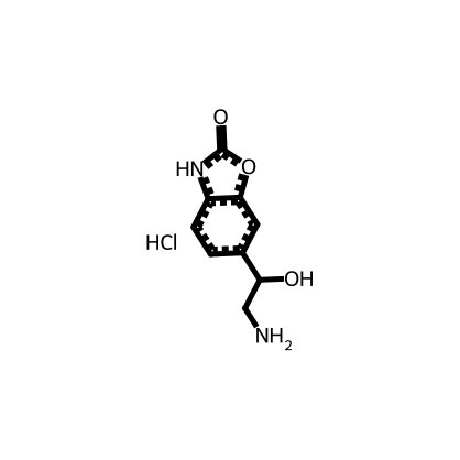 Cl.NCC(O)c1ccc2[nH]c(=O)oc2c1